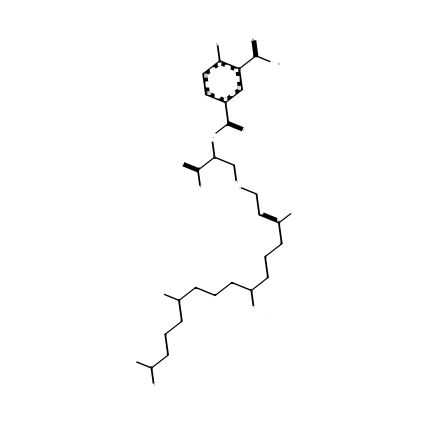 C/C(=C\CSCC(NC(=O)c1ccc(O)c(C(=O)O)c1)C(=O)O)CCCC(C)CCCC(C)CCCC(C)C